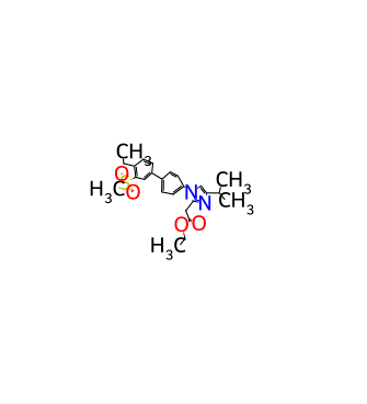 CCOC(=O)Cc1nc(C(C)C)cn1-c1ccc(-c2ccc(CC)c(S(C)(=O)=O)c2)cc1